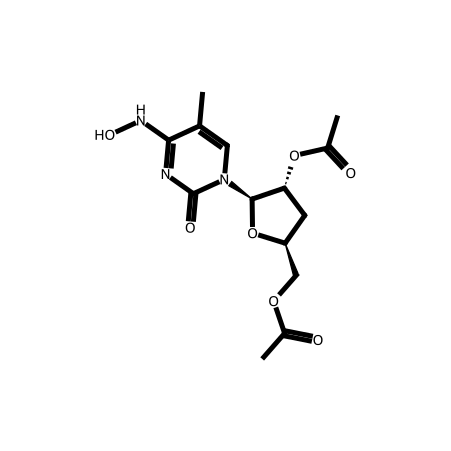 CC(=O)OC[C@@H]1C[C@@H](OC(C)=O)[C@H](n2cc(C)c(NO)nc2=O)O1